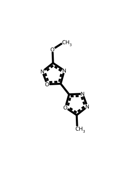 COc1noc(-c2nnc(C)o2)n1